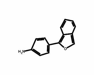 Nc1ccc(-c2occ3ccccc23)cc1